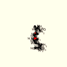 CC[C@H](C)[C@H](NC(=O)[C@H](CC(C)C)NC(=O)[C@@H]1CCCN1C(=O)[C@@H]1CCCN1C(=O)[C@@H](NC(=O)C(CC(N)=O)NC(=O)[C@@H](NC(=O)CNC(=O)[C@H](CO)NC(=O)C(CC(N)=O)NC(=O)[C@@H](NC(=O)C(Cc1ccc(O)cc1)NN)[C@@H](C)O)C(C)C)[C@@H](C)O)C(=O)N1CCC[C@H]1C(=O)NCC(=O)N[C@@H](Cc1ccccc1)C(=O)N[C@@H](CC(N)=O)C(=O)N[C@H](C=O)CC(N)=O